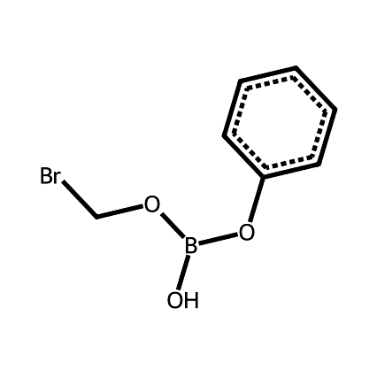 OB(OCBr)Oc1ccccc1